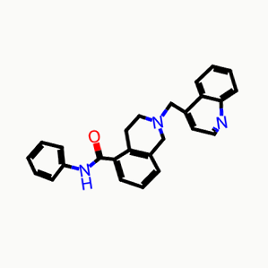 O=C(Nc1ccccc1)c1cccc2c1CCN(Cc1ccnc3ccccc13)C2